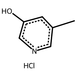 Cc1cncc(O)c1.Cl